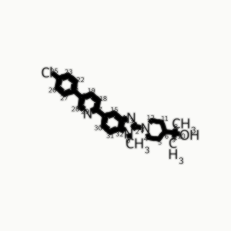 Cn1c(N2CCC(C(C)(C)O)CC2)nc2cc(-c3ccc(-c4ccc(Cl)cc4)cn3)ccc21